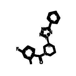 Cc1cc(F)ccc1C(=O)N1CCC[C@H](n2nnc(-c3ccccc3)n2)C1